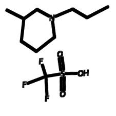 CCCN1CCCC(C)C1.O=S(=O)(O)C(F)(F)F